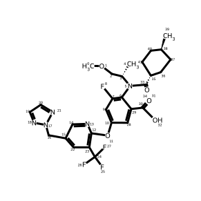 COC[C@H](C)N(c1c(F)cc(Oc2ncc(Cn3nccn3)cc2C(F)(F)F)cc1C(=O)O)C(=O)[C@H]1CC[C@H](C)CC1